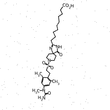 Cc1cc(N(C)C(N)=O)cc(C)c1CCS(=O)(=O)N1CCC2(CC1)N=C(CCCCCCCCCC(=O)O)NC2=O